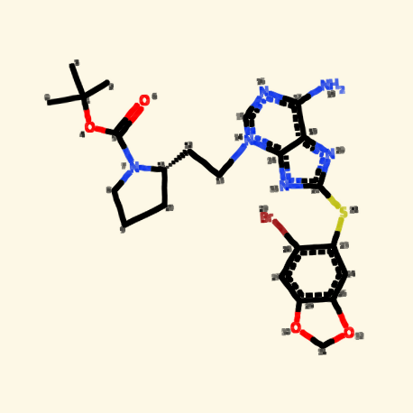 CC(C)(C)OC(=O)N1CCC[C@H]1CCn1cnc(N)c2nc(Sc3cc4c(cc3Br)OCO4)nc1-2